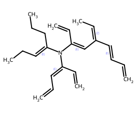 C=C/C=C/C(=C/C)/C=C(\C=C)N(/C(C=C)=C/C=C)/C(=C/CC)CCC